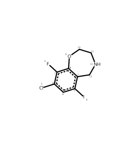 Fc1c(Cl)cc(I)c2c1OCCNC2